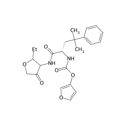 CCC1OCC(=O)C1NC(=O)[C@H](CC(C)(C)c1ccccc1)NC(=O)Oc1ccoc1